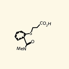 CNC(=O)c1ccccc1SCCC(=O)O